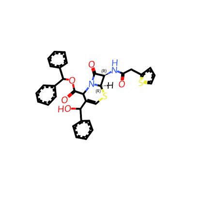 O=C(Cc1cccs1)N[C@@H]1C(=O)N2C(C(=O)OC(c3ccccc3)c3ccccc3)C(C(O)c3ccccc3)=CS[C@H]12